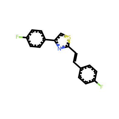 Fc1ccc(/C=C/c2nc(-c3ccc(F)cc3)cs2)cc1